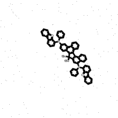 CC(C)(C)C1(C(C)(C)C)c2cc(N(c3ccccc3)c3cccc4c3oc3ccccc34)c3ccccc3c2-c2c1c1ccc(N(c3ccccc3)c3cccc4c3oc3ccccc34)cc1c1ccccc21